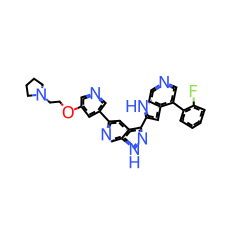 Fc1ccccc1-c1cncc2[nH]c(-c3n[nH]c4cnc(-c5cncc(OCCN6CCCC6)c5)cc34)cc12